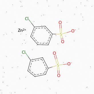 O=S(=O)([O-])c1cccc(Cl)c1.O=S(=O)([O-])c1cccc(Cl)c1.[Zn+2]